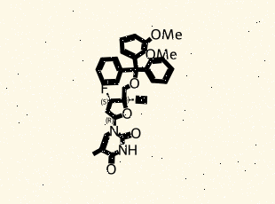 C#C[C@]1(COC(c2ccccc2)(c2ccccc2)c2cccc(OC)c2OC)O[C@@H](n2cc(C)c(=O)[nH]c2=O)C[C@@H]1F